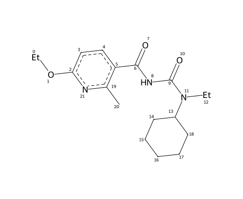 CCOc1ccc(C(=O)NC(=O)N(CC)C2CCCCC2)c(C)n1